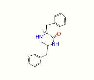 O=C1NC(Cc2ccccc2)CN[C@H]1Cc1ccccc1